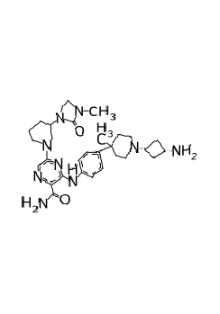 CN1CCN(C2CCCN(c3cnc(C(N)=O)c(Nc4ccc(C5(C)CCN([C@H]6C[C@@H](N)C6)CC5)cc4)n3)C2)C1=O